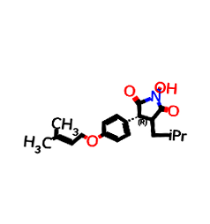 CC(C)=CCOc1ccc([C@@H]2C(=O)N(O)C(=O)C2CC(C)C)cc1